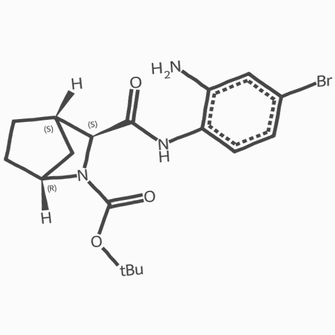 CC(C)(C)OC(=O)N1[C@@H]2CC[C@@H](C2)[C@H]1C(=O)Nc1ccc(Br)cc1N